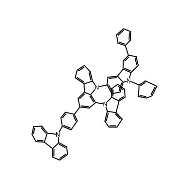 c1ccc(-c2ccc3c(c2)c2cc(-n4c5ccccc5c5cc(-c6ccc(-n7c8ccccc8c8ccccc87)cc6)cc(-n6c7ccccc7c7ccccc76)c54)ccc2n3-c2ccccc2)cc1